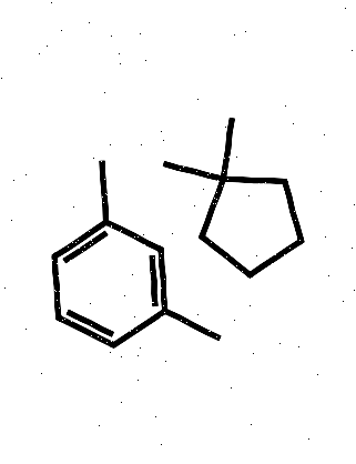 CC1(C)CCCC1.Cc1cccc(C)c1